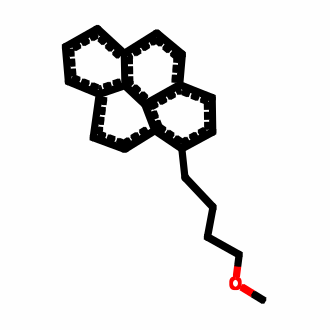 COCCCCc1ccc2ccc3cccc4ccc1c2c34